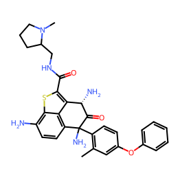 Cc1cc(Oc2ccccc2)ccc1C1(N)C(=O)[C@@H](N)c2c(C(=O)NCC3CCCN3C)sc3c(N)ccc1c23